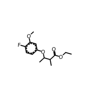 CCOC(=O)C(C)C(C)Oc1ccc(F)c(OC)c1